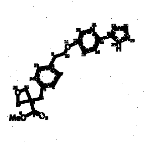 COC(=O)C1(Cc2ccc(CCOc3ccc(-c4ccn[nH]4)nc3)cc2)COC1